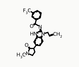 C=CCn1/c(=N/C(=O)c2cccc(C(F)(F)F)c2)[nH]c2cc(C3CCN(C)C3=O)ccc21